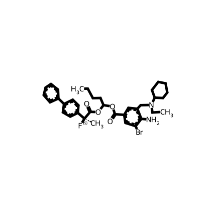 CCCCC(OC(=O)c1cc(Br)c(N)c(CN(CC)C2CCCCC2)c1)OC(=O)[C@@](C)(F)c1ccc(-c2ccccc2)cc1